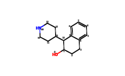 OC1CCc2ccccc2C1C1CCNCC1